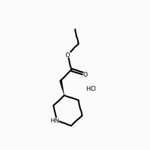 CCOC(=O)C[C@H]1CCCNC1.Cl